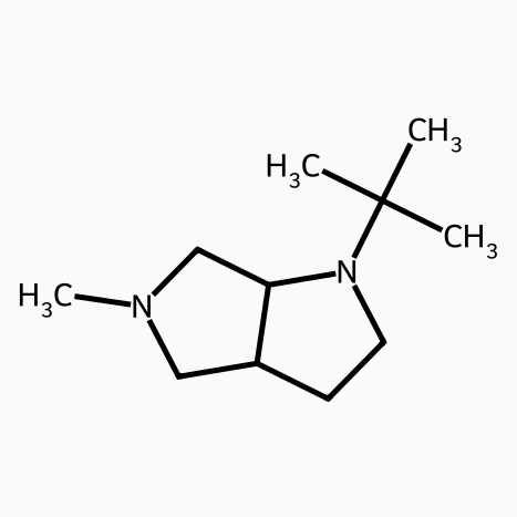 CN1CC2CCN(C(C)(C)C)C2C1